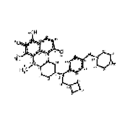 Cn1c(=O)c(C#N)c(N(C)[C@H]2CC[C@H](N(CC3CCC3)c3ccc(CN4CCOCC4)cc3)CC2)c2nc(Cl)ccc21